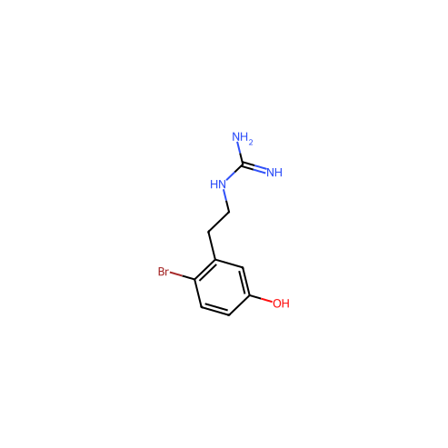 N=C(N)NCCc1cc(O)ccc1Br